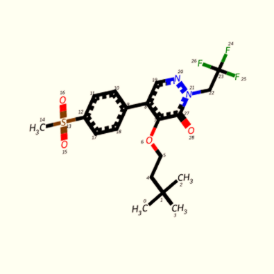 CC(C)(C)CCOc1c(-c2ccc(S(C)(=O)=O)cc2)cnn(CC(F)(F)F)c1=O